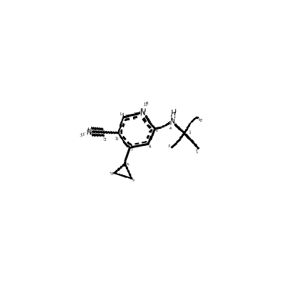 CC(C)(C)Nc1cc(C2CC2)c(C#N)cn1